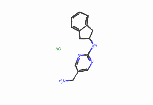 Cl.NCc1cnc(NC2Cc3ccccc3C2)nc1